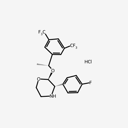 C[C@@H](O[C@@H]1OCCN[C@H]1c1ccc(F)cc1)c1cc(C(F)(F)F)cc(C(F)(F)F)c1.Cl